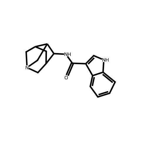 O=C(NC1C2CC3CN(C2)CC31)c1c[nH]c2ccccc12